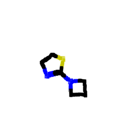 C1CN(C2=NCCS2)C1